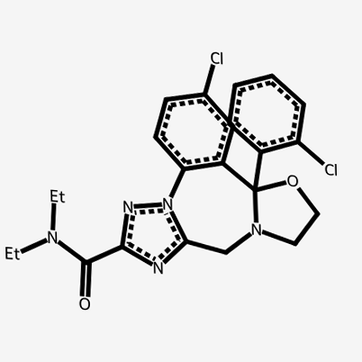 CCN(CC)C(=O)c1nc2n(n1)-c1ccc(Cl)cc1C1(c3ccccc3Cl)OCCN1C2